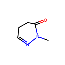 CN1N=[C]CCC1=O